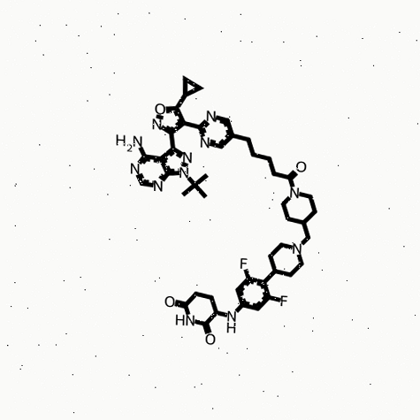 CC(C)(C)n1nc(-c2noc(C3CC3)c2-c2ncc(CCCCC(=O)N3CCC(CN4CCC(c5c(F)cc(NC6CCC(=O)NC6=O)cc5F)CC4)CC3)cn2)c2c(N)ncnc21